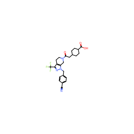 N#Cc1ccc(Cn2nc(C(F)(F)F)c3c2CN(C(=O)CC2CCC(C(=O)O)CC2)CC3)cc1